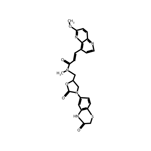 COc1ccc2nccc(C=CC(=O)N(C)CC3CN(c4ccc5c(c4)NC(=O)CS5)C(=O)O3)c2n1